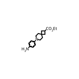 CCOC(=O)C1CC2(CCN(c3ccc(N)cc3)CC2)C1